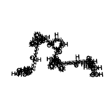 CC(CCCCNC(=O)CCCCCCCNC(=O)C(Cc1ccccc1)NC(=O)C(Cc1ccccc1)NC(=O)CCCC(=O)N1CCCN(C(=O)CCCC(=O)NC(Cc2ccccc2)C(=O)NC(Cc2ccccc2)C(=O)NCCCCCCCC(=O)NCCCCC(NC(=O)NC(CCC(=O)O)C(=O)O)C(=O)O)CCNCCCNCC1)NC(=O)NC(CCC(=O)O)C(=O)O